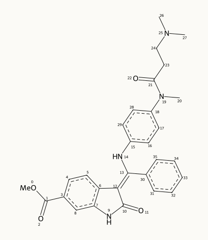 COC(=O)c1ccc2c(c1)NC(=O)C2=C(Nc1ccc(N(C)C(=O)CCN(C)C)cc1)c1ccccc1